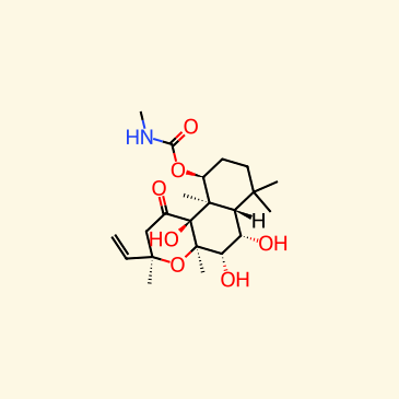 C=C[C@@]1(C)CC(=O)[C@]2(O)[C@@]3(C)[C@@H](OC(=O)NC)CCC(C)(C)[C@@H]3[C@H](O)[C@H](O)[C@@]2(C)O1